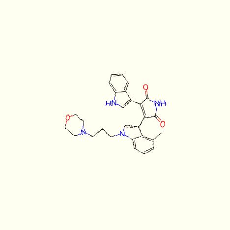 Cc1cccc2c1c(C1=C(c3c[nH]c4ccccc34)C(=O)NC1=O)cn2CCCN1CCOCC1